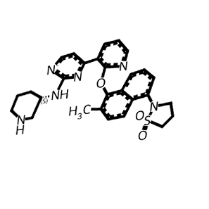 Cc1ccc2c(N3CCCS3(=O)=O)cccc2c1Oc1ncccc1-c1ccnc(N[C@H]2CCCNC2)n1